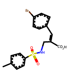 Cc1ccc(S(=O)(=O)NC/C(=C\c2ccc(Br)cc2)C(=O)O)cc1